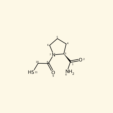 NC(=O)[C@@H]1CCCN1C(=O)CS